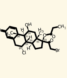 CCC(=O)O[C@@]1(C(=O)CBr)CC[C@H]2[C@H]3[C@H]([C@@H](O)C[C@@]21C)[C@@]1(C)C=CC(=O)C=C1C[C@H]3Cl